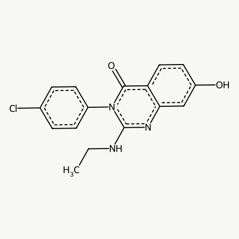 CCNc1nc2cc(O)ccc2c(=O)n1-c1ccc(Cl)cc1